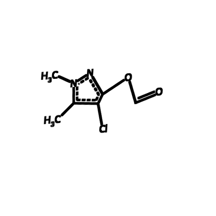 Cc1c(Cl)c(OC=O)nn1C